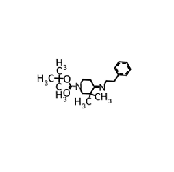 CC(C)(C)OC(=O)N1CCC(=NCCc2ccccc2)C(C)(C)C1